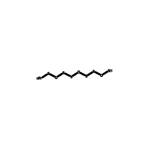 CCCSOSSOSSOS